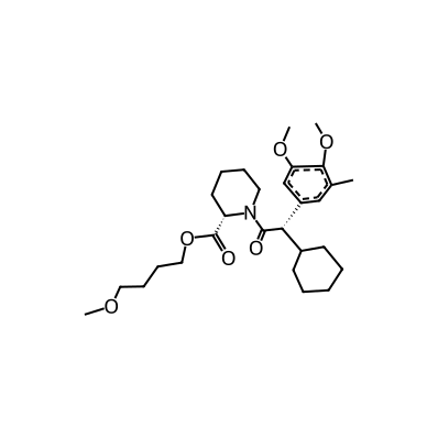 COCCCCOC(=O)[C@@H]1CCCCN1C(=O)[C@H](c1cc(C)c(OC)c(OC)c1)C1CCCCC1